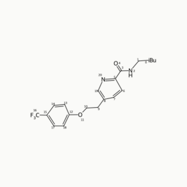 CCC(C)CNC(=O)c1ccc(CCOc2ccc(C(F)(F)F)cc2)cn1